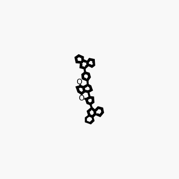 C1=Cc2c(cc(-c3ccc4c(c3)Oc3ccc5c6c(ccc-4c36)-c3ccc(-c4cc6ccccc6c6ccccc46)cc3O5)c3ccccc23)CC1